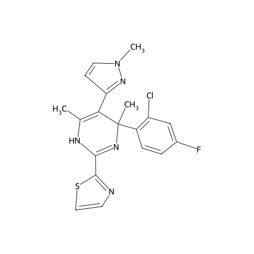 CC1=C(c2ccn(C)n2)C(C)(c2ccc(F)cc2Cl)N=C(c2nccs2)N1